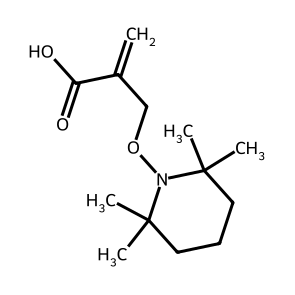 C=C(CON1C(C)(C)CCCC1(C)C)C(=O)O